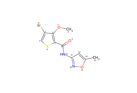 COc1c(Br)csc1C(=O)Nc1cc(C)on1